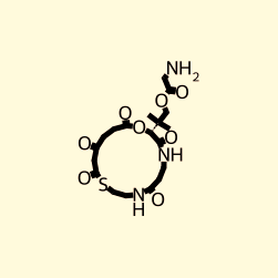 CC(C)(COC(=O)CN)[C@H]1OC(=O)CCC(=O)CC(=O)SCCNC(=O)CCNC1=O